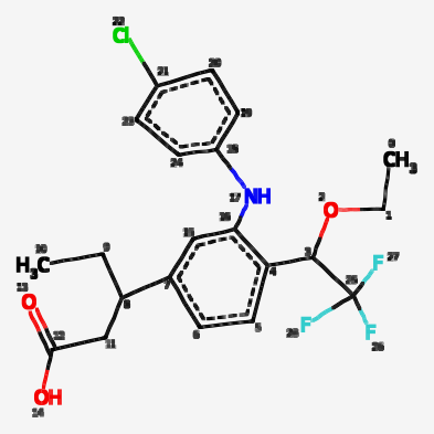 CCOC(c1ccc(C(CC)CC(=O)O)cc1Nc1ccc(Cl)cc1)C(F)(F)F